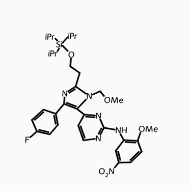 COCn1c(CCO[Si](C(C)C)(C(C)C)C(C)C)nc(-c2ccc(F)cc2)c1-c1ccnc(Nc2cc([N+](=O)[O-])ccc2OC)n1